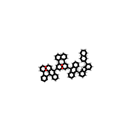 c1ccc(-c2ccccc2-c2c3ccccc3c(-c3cccc(-c4cccc5cccc(-c6cccc(-c7c8ccccc8c(-c8cccc9c8oc8c(-c%10ccc%11ccccc%11c%10)cccc89)c8ccccc78)c6)c45)c3)c3ccccc23)cc1